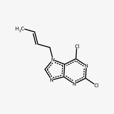 CC=CCn1cnc2nc(Cl)nc(Cl)c21